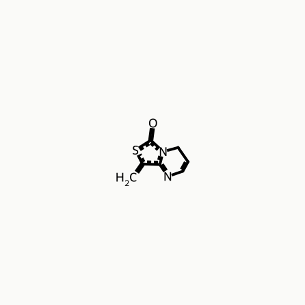 C=c1sc(=O)n2c1=NC=CC2